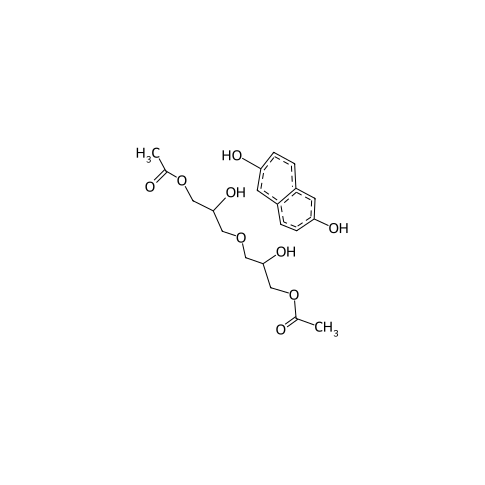 CC(=O)OCC(O)COCC(O)COC(C)=O.Oc1ccc2cc(O)ccc2c1